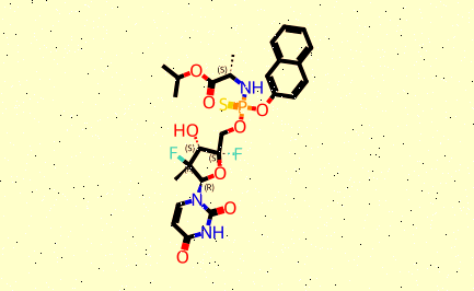 CC(C)OC(=O)[C@H](C)NP(=S)(OC[C@@]1(F)O[C@@H](n2ccc(=O)[nH]c2=O)[C@](C)(F)[C@@H]1O)Oc1ccc2ccccc2c1